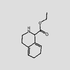 CCOC(=O)C1NCCC2=CCCC=C21